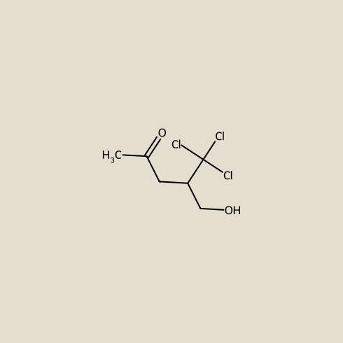 CC(=O)CC(CO)C(Cl)(Cl)Cl